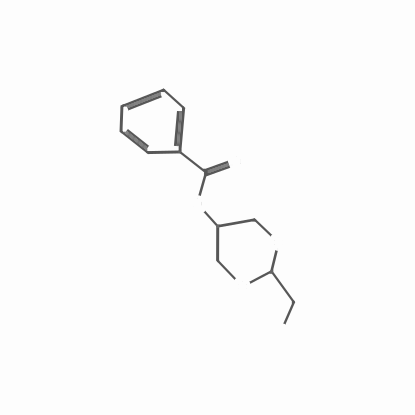 CCC1OCC(OC(=O)c2ccccc2)CO1